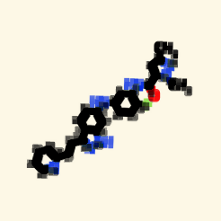 Cc1cc(C(=O)Nc2cc(Nc3ccc4c(C=Cc5ccccn5)n[nH]c4c3)ccc2F)n(C)n1